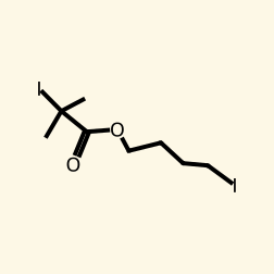 CC(C)(I)C(=O)OCCCCI